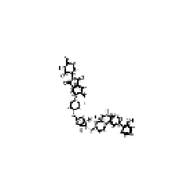 C[C@@H]1C[C@H](CN2C[C@@H]3[C@H](C2)[C@H]3CN2CCN3c4cc(-c5ccccc5O)nnc4NC[C@H]3C2)CCN1c1cc2c(cc1F)C(=O)N(C1CCC(=O)NC1=O)C2=O